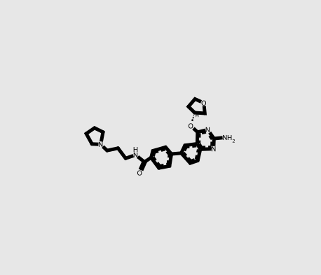 Nc1nc(O[C@@H]2CCOC2)c2cc(-c3ccc(C(=O)NCCCN4CCCC4)cc3)ccc2n1